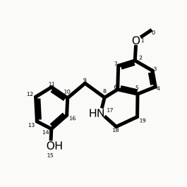 COc1ccc2c(c1)C(Cc1cccc(O)c1)NCC2